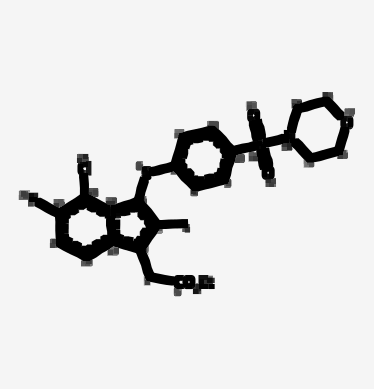 CCOC(=O)Cc1c(C)c(Sc2ccc(S(=O)(=O)N3CCOCC3)cc2)n2c(Cl)c(F)ccc12